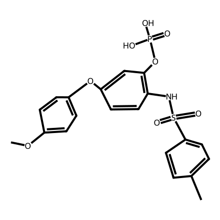 COc1ccc(Oc2ccc(NS(=O)(=O)c3ccc(C)cc3)c(OP(=O)(O)O)c2)cc1